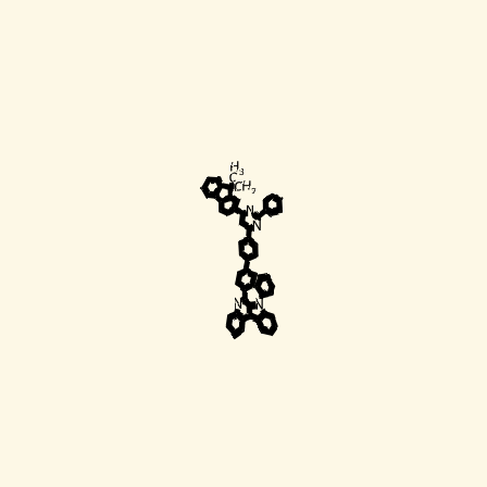 CC1(C)c2ccccc2-c2ccc(-c3cc(-c4ccc(-c5ccc(-c6nc7ccccc7c7c8ccccc8n(-c8ccccc8)c67)cc5)cc4)nc(-c4ccccc4)n3)cc21